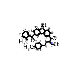 CC/C=C(/CCc1ccc(C)cc1)C(=O)c1ccc2c(c1)c1cc(C(=O)c3ccccc3C)ccc1n2CC